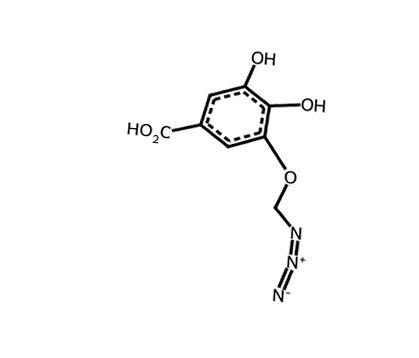 [N-]=[N+]=NCOc1cc(C(=O)O)cc(O)c1O